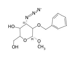 CO[C@@H]1OC(CO)C(O)[C@H](N=[N+]=[N-])C1OCc1ccccc1